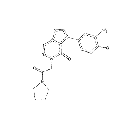 O=C(Cn1ncc2scc(-c3ccc(Cl)c(C(F)(F)F)c3)c2c1=O)N1CCCC1